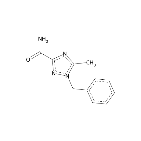 Cc1nc(C(N)=O)nn1Cc1ccccc1